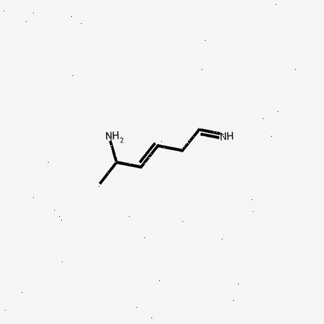 CC(N)C=CCC=N